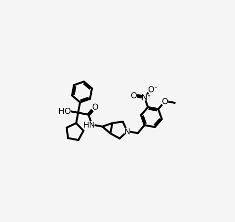 COc1ccc(CN2CC3C(C2)C3NC(=O)C(O)(c2ccccc2)C2CCCC2)cc1[N+](=O)[O-]